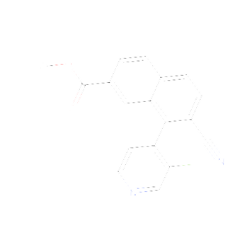 COC(=O)c1ccc2ccc(C#N)c(-c3ccncc3F)c2c1